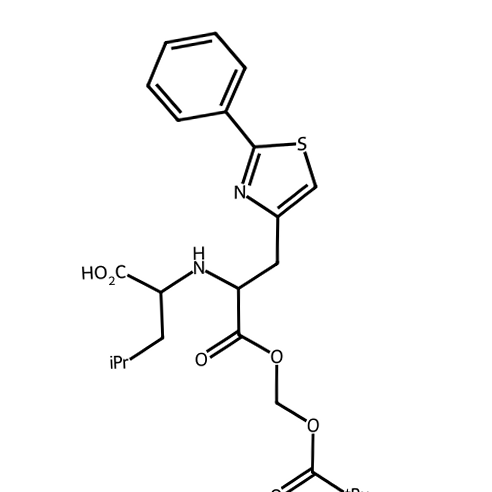 CC(C)CC(NC(Cc1csc(-c2ccccc2)n1)C(=O)OCOC(=O)C(C)(C)C)C(=O)O